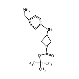 CC(C)(C)OC(=O)N1CC(Nc2ccc(CN)cc2)C1